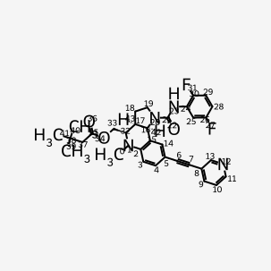 CN1c2ccc(C#Cc3cccnc3)cc2[C@H]2[C@H](CCN2C(=O)Nc2cc(F)ccc2F)[C@@H]1COC(=O)CC(C)(C)C